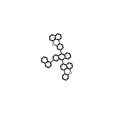 c1ccc2c(c1)Oc1cccc3c(-c4c5ccccc5c(-c5ccc6c(c5)Oc5cccc7cccc-6c57)c5ccc(-c6cccc7ccccc67)cc45)ccc-2c13